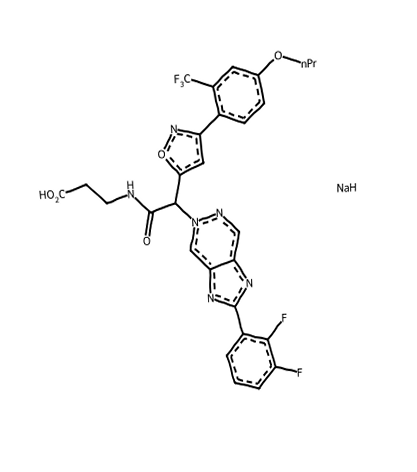 CCCOc1ccc(-c2cc(C(C(=O)NCCC(=O)O)n3cc4nc(-c5cccc(F)c5F)nc-4cn3)on2)c(C(F)(F)F)c1.[NaH]